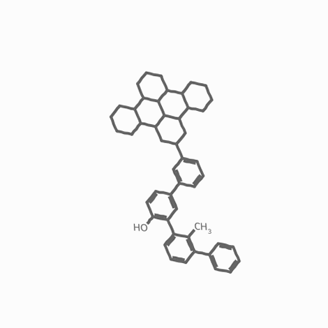 Cc1c(-c2ccccc2)cccc1-c1cc(-c2cccc(C3CC4C5CCCCC5C5CCCC6C7CCCCC7C(C3)C4C56)c2)ccc1O